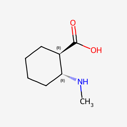 CN[C@@H]1CCCC[C@H]1C(=O)O